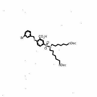 CCCCCCCCCCCCCCCCN(CCCCCCCCCCCCCCCC)S(=O)(=O)c1ccc(SCc2cccc(Br)c2)c(C(=O)O)c1